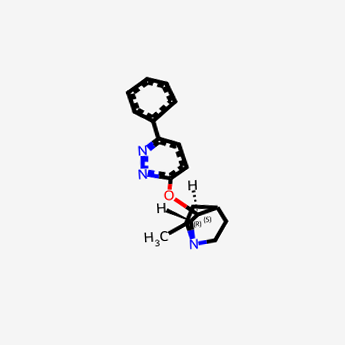 C[C@@H]1[C@@H](Oc2ccc(-c3ccccc3)nn2)C2CCN1CC2